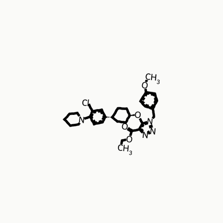 CCOC(=O)c1nnn(Cc2ccc(OC)cc2)c1O[C@H]1CC[C@H](c2ccc(N3CCCCC3)c(Cl)c2)CC1